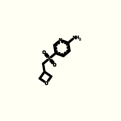 Nc1ccc(S(=O)(=O)CC2COC2)cn1